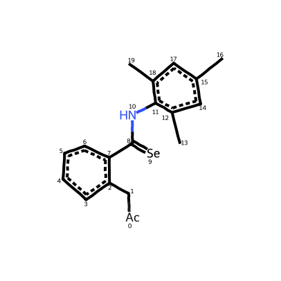 CC(=O)Cc1ccccc1C(=[Se])Nc1c(C)cc(C)cc1C